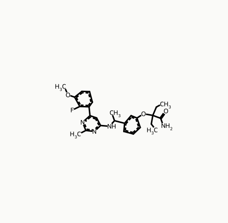 CCC(CC)(Oc1cccc(C(C)Nc2cc(-c3cccc(OC)c3F)nc(C)n2)c1)C(N)=O